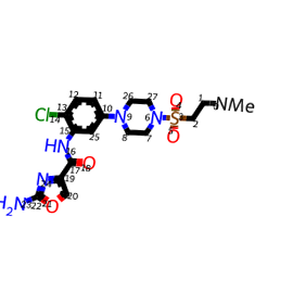 CNCCS(=O)(=O)N1CCN(c2ccc(Cl)c(NC(=O)c3coc(N)n3)c2)CC1